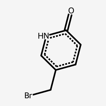 O=c1ccc(CBr)c[nH]1